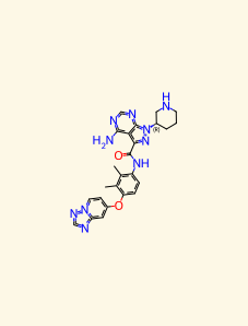 Cc1c(NC(=O)c2nn([C@@H]3CCCNC3)c3ncnc(N)c23)ccc(Oc2ccn3ncnc3c2)c1C